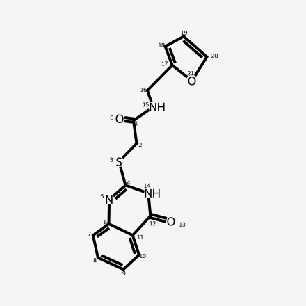 O=C(CSc1nc2ccccc2c(=O)[nH]1)NCc1ccco1